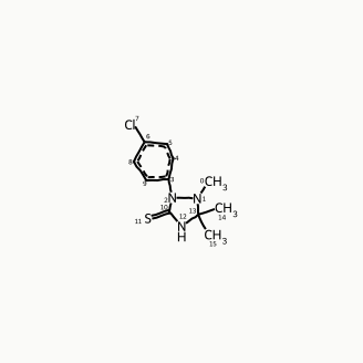 CN1N(c2ccc(Cl)cc2)C(=S)NC1(C)C